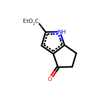 CCOC(=O)c1cc2c([nH]1)CCC2=O